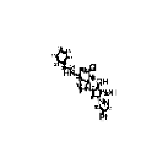 CCc1cnn([C@@H]2C[C@H](n3cnc4c(NCCc5ccccc5)nc(Cl)nc43)[C@@H](O)[C@H]2O)c1